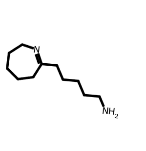 NCCCCCC1=NCCCCC1